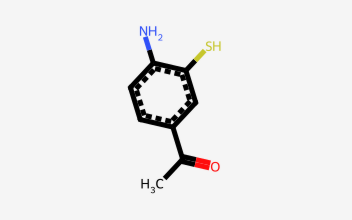 CC(=O)c1ccc(N)c(S)c1